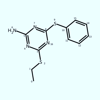 CCSc1nc(N)nc(Sc2ccccc2)n1